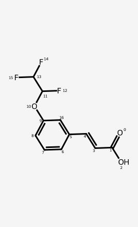 O=C(O)C=Cc1cccc(OC(F)C(F)F)c1